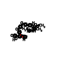 CCOC(=O)c1c(C)nc(Nc2cnn(C)c2)nc1NC1CCC(N2CCN(C(=O)C3CCC(C(=O)N4CCC(CCCN5C6CC[C@@H]5CN(c5ccc(C7CCC(=O)NC7=O)cc5)C6)CC4)CC3)CC2)CC1